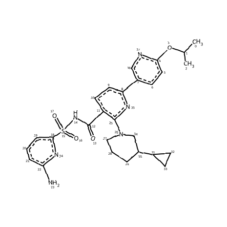 CC(C)Oc1ccc(-c2ccc(C(=O)NS(=O)(=O)c3cccc(N)n3)c(N3CCCC(C4CC4)C3)n2)cn1